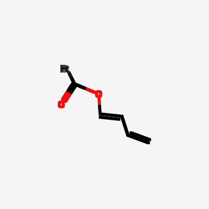 C=CC=COC(=O)CC